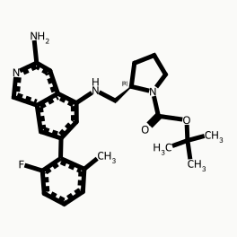 Cc1cccc(F)c1-c1cc(NC[C@H]2CCCN2C(=O)OC(C)(C)C)c2cc(N)ncc2c1